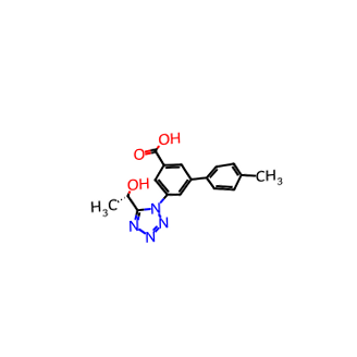 Cc1ccc(-c2cc(C(=O)O)cc(-n3nnnc3[C@H](C)O)c2)cc1